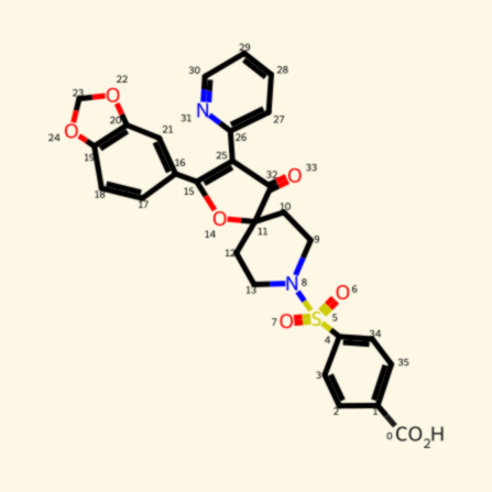 O=C(O)c1ccc(S(=O)(=O)N2CCC3(CC2)OC(c2ccc4c(c2)OCO4)=C(c2ccccn2)C3=O)cc1